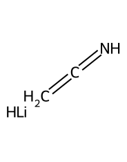 C=C=N.[LiH]